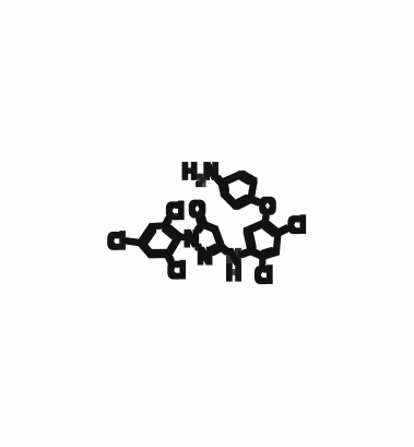 Nc1ccc(Oc2cc(NC3=NN(c4c(Cl)cc(Cl)cc4Cl)C(=O)C3)c(Cl)cc2Cl)cc1